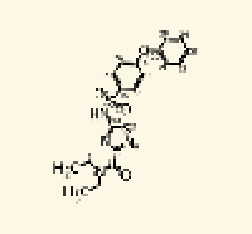 CCN(CC)C(=O)c1nsc(NS(=O)(=O)c2ccc(Oc3ccccc3)cc2)n1